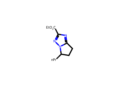 CCCC1CCc2nc(C(=O)OCC)nn21